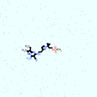 CCc1c(C)nn2c(N)c(C#N)c(NCCc3ccn(C4(CCOS(C)(=O)=O)CC4)n3)nc12